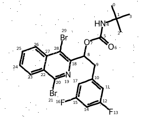 CC(C)(C)NC(=O)OC(Cc1cc(F)cc(F)c1)c1nc(Br)c2ccccc2c1Br